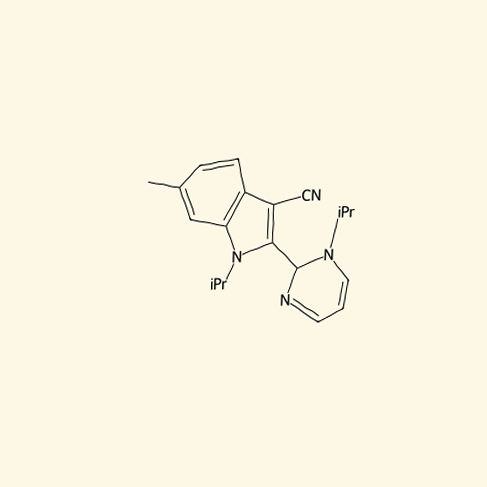 Cc1ccc2c(C#N)c(C3N=CC=CN3C(C)C)n(C(C)C)c2c1